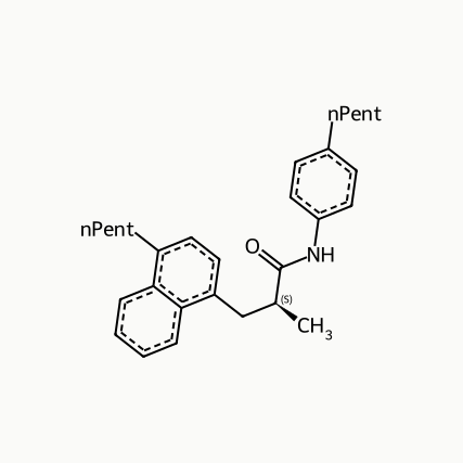 CCCCCc1ccc(NC(=O)[C@@H](C)Cc2ccc(CCCCC)c3ccccc23)cc1